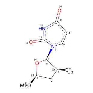 CO[C@@H]1C[C@H](C(F)(F)F)[C@H](n2ccc(=O)[nH]c2=O)O1